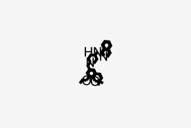 CCOc1cc(CN2CCC(Nc3nccc4ccccc34)CC2)cc2c1OC(C)(C)C=C2